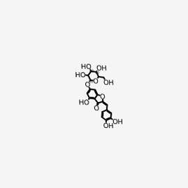 O=C1C(=Cc2ccc(O)c(O)c2)Oc2cc(O[C@@H]3OC(CO)[C@@H](O)[C@H](O)C3O)cc(O)c21